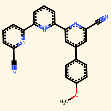 COc1ccc(-c2cc(C#N)nc(-c3cccc(-c4cccc(C#N)n4)n3)c2)cc1